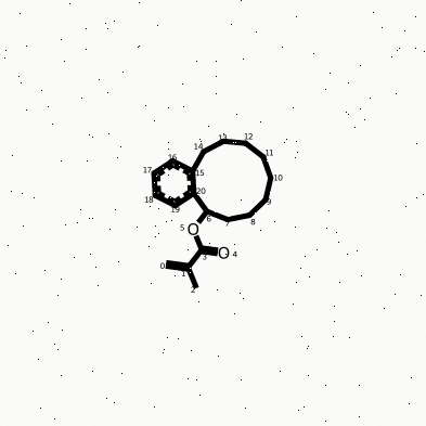 C=C(C)C(=O)OC1CCCCCCCCc2ccccc21